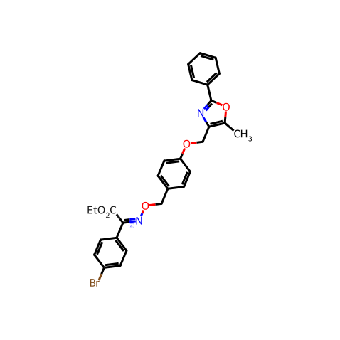 CCOC(=O)/C(=N\OCc1ccc(OCc2nc(-c3ccccc3)oc2C)cc1)c1ccc(Br)cc1